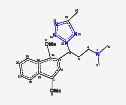 COc1cc(C(CCN(C)C)n2nnc(C)n2)c(OC)c2ccccc12